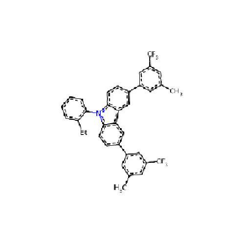 CCc1ccccc1-n1c2ccc(-c3cc(C)cc(C(F)(F)F)c3)cc2c2cc(-c3cc(C)cc(C(F)(F)F)c3)ccc21